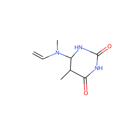 C=CN(C)C1NC(=O)NC(=O)C1C